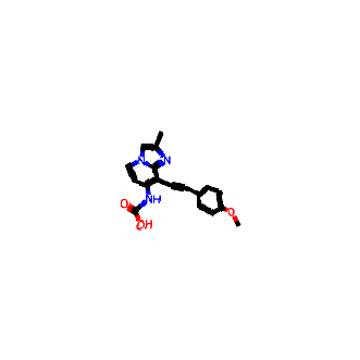 COc1ccc(C#Cc2c(NC(=O)O)ccn3cc(C)nc23)cc1